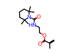 C=C(C)C(=O)OCCNC(=O)N1C(C)(C)CCCC1(C)C